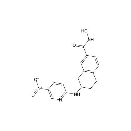 O=C(NO)c1ccc2c(c1)CC(Nc1ccc([N+](=O)[O-])cn1)CC2